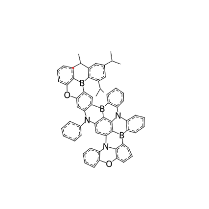 CC(C)c1cc(C(C)C)c(B2c3ccccc3Oc3cc4c(cc32)B2c3ccccc3N3c5ccccc5B5c6cccc7c6N(c6ccccc6O7)c6cc(c2c3c65)N4c2ccccc2)c(C(C)C)c1